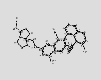 C#Cc1c(F)ccc2cccc(-c3c(F)cc4c(O)nc(OC[C@@]56CCCN5[C@H](CF)CC6)nc4c3F)c12